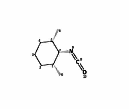 C[C@@H]1CCC[C@H](C)[C@@H]1N=C=O